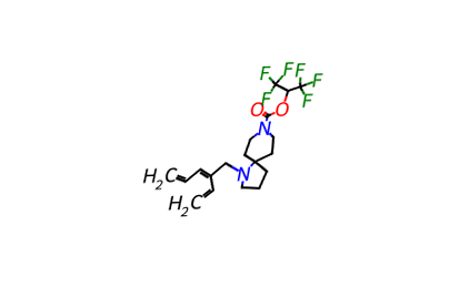 C=C/C=C(\C=C)CN1CCCC12CCN(C(=O)OC(C(F)(F)F)C(F)(F)F)CC2